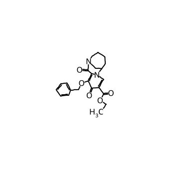 CCOC(=O)c1cn2c(c(OCc3ccccc3)c1=O)C(=O)N1CCCCC2C1